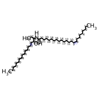 CCCCCCCC/C=C\CCCCCCCCCCCCCC(=O)NC(CO)C(O)/C=C/CCCCCCCCCCCCC